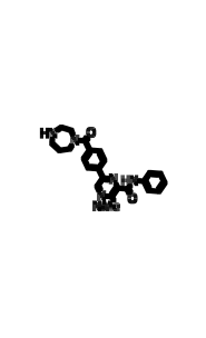 CNc1ncc(-c2ccc(C(=O)N3CCCNCC3)cc2)nc1C(=O)Nc1ccccc1